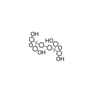 CC1(c2ccc(-c3ccc(C4(C)c5cc(O)ccc5Oc5ccc(O)cc54)cc3)cc2)c2cc(O)ccc2Oc2ccc(O)cc21